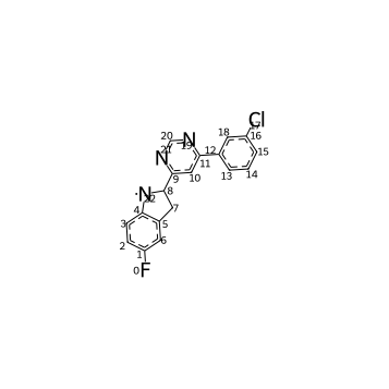 Fc1ccc2c(c1)CC(c1cc(-c3cccc(Cl)c3)ncn1)[N]2